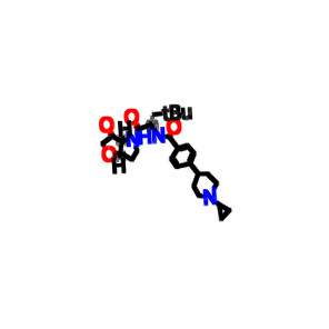 CC(C)(C)C[C@H](NC(=O)c1ccc(C2CCN(C3CC3)CC2)cc1)C(=O)N1CC[C@H]2OCC(=O)[C@H]21